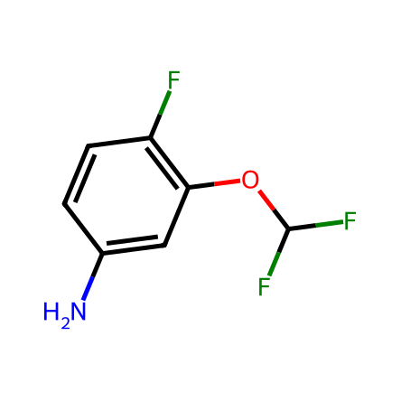 Nc1ccc(F)c(OC(F)F)c1